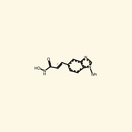 CCCn1cnc2cc(/C=C/C(=O)NO)ccc21